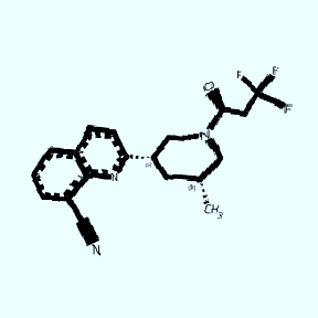 C[C@@H]1C[C@H](c2ccc3cccc(C#N)c3n2)CN(C(=O)CC(F)(F)F)C1